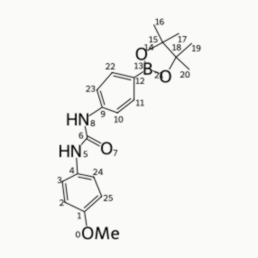 COc1ccc(NC(=O)Nc2ccc(B3OC(C)(C)C(C)(C)O3)cc2)cc1